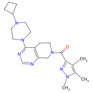 Cc1c(C(=O)N2CCc3c(ncnc3N3CCN(C4CCC4)CC3)C2)nn(C)c1C